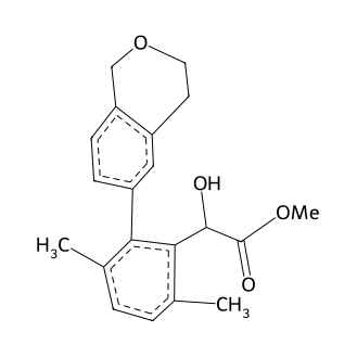 COC(=O)C(O)c1c(C)ccc(C)c1-c1ccc2c(c1)CCOC2